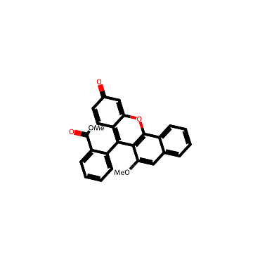 COC(=O)c1ccccc1-c1c2ccc(=O)cc-2oc2c1c(OC)cc1ccccc12